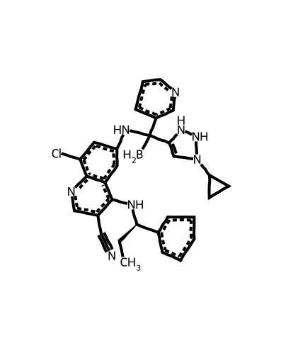 BC(Nc1cc(Cl)c2ncc(C#N)c(N[C@H](CC)c3ccccc3)c2c1)(C1=CN(C2CC2)NN1)c1cccnc1